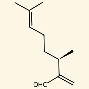 C=C(C=O)[C@H](C)CCC=C(C)C